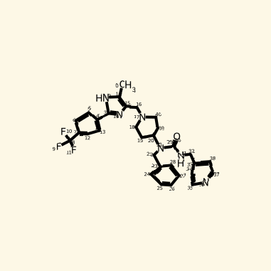 Cc1[nH]c(-c2ccc(C(F)(F)F)cc2)nc1CN1CCC(N(Cc2ccccc2)C(=O)NCc2ccncc2)CC1